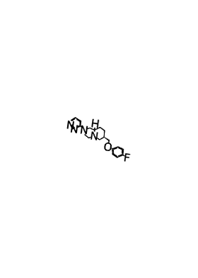 Fc1ccc(OC[C@@H]2CC[C@H]3CN(c4cccnn4)CCN3C2)cc1